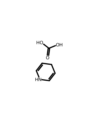 C1=CNC=CC1.O=C(O)O